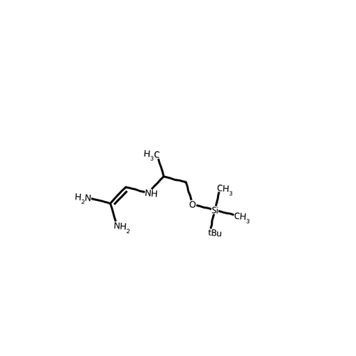 CC(CO[Si](C)(C)C(C)(C)C)NC=C(N)N